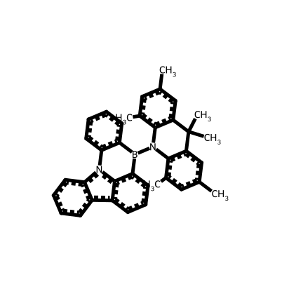 Cc1cc(C)c2c(c1)C(C)(C)c1cc(C)cc(C)c1N2B1c2ccccc2-n2c3ccccc3c3cccc1c32